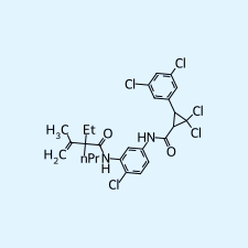 C=C(C)C(CC)(CCC)C(=O)Nc1cc(NC(=O)C2C(c3cc(Cl)cc(Cl)c3)C2(Cl)Cl)ccc1Cl